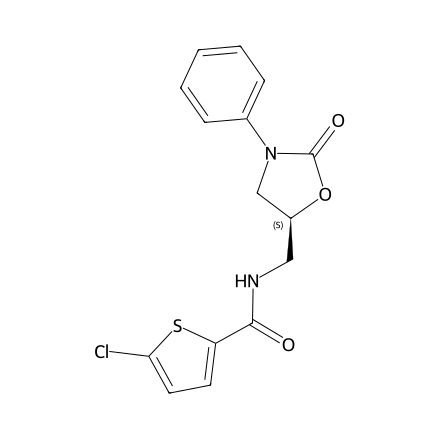 O=C(NC[C@H]1CN(c2ccccc2)C(=O)O1)c1ccc(Cl)s1